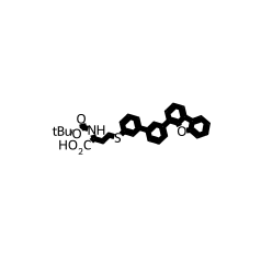 CC(C)(C)OC(=O)NC(CCSc1cccc(-c2cccc(-c3cccc4c3oc3ccccc34)c2)c1)C(=O)O